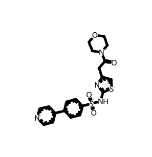 O=C(Cc1csc(NS(=O)(=O)c2ccc(-c3ccncc3)cc2)n1)N1CCOCC1